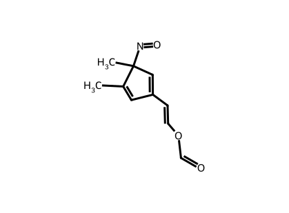 CC1=CC(/C=C/OC=O)=CC1(C)N=O